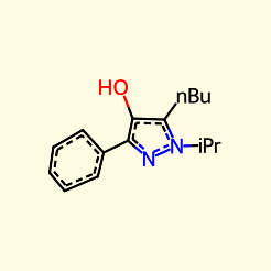 CCCCc1c(O)c(-c2ccccc2)nn1C(C)C